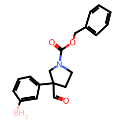 Bc1cccc(C2(C=O)CCN(C(=O)OCc3ccccc3)C2)c1